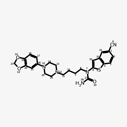 N#Cc1ccc2sc(N(CCCCN3CCN(c4ccc5c(c4)OCO5)CC3)C(N)=O)cc2c1